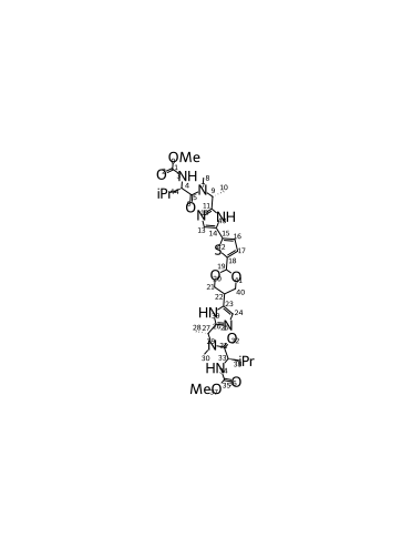 COC(=O)N[C@@H](C(=O)N(C)[C@H](C)c1ncc(-c2ccc(C3OCC(c4cnc([C@@H](C)N(C)C(=O)[C@H](NC(=O)OC)C(C)C)[nH]4)CO3)s2)[nH]1)C(C)C